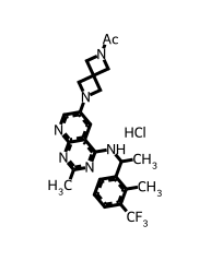 CC(=O)N1CC2(C1)CN(c1cnc3nc(C)nc(NC(C)c4cccc(C(F)(F)F)c4C)c3c1)C2.Cl